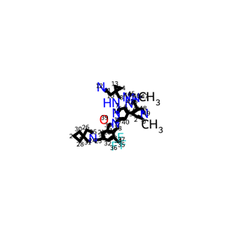 Cc1cc(-c2cc(NCC3(CC#N)CC3)nc(N3Cc4c(cc(CN5CCC6(CCC6)C5)cc4C(F)(F)F)C3=O)c2)c(-c2nncn2C)cn1